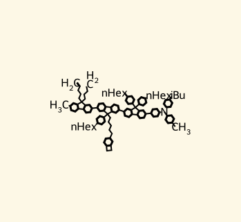 C=CCCCC1(CCCC=C)c2cc(C)ccc2-c2ccc(-c3ccc4c(c3)C(CCCCCc3ccc5c(c3)CC5)(c3ccc(CCCCCC)cc3)c3cc(-c5ccc6c(c5)C(c5ccc(CCCCCC)cc5)(c5ccc(CCCCCC)cc5)c5cc(-c7ccc(N(c8ccc(C)cc8)c8ccc(C(C)CC)cc8)cc7)ccc5-6)ccc3-4)cc21